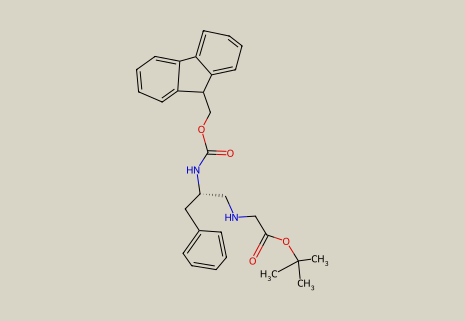 CC(C)(C)OC(=O)CNC[C@H](Cc1ccccc1)NC(=O)OCC1c2ccccc2-c2ccccc21